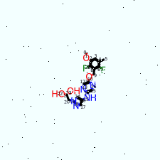 COc1cc(C)c(F)c(COc2cnc(Nc3cnn(CC(O)O)c3)cn2)c1F